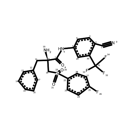 N#Cc1ccc(NC(=O)[C@@](N)(Cc2ccccc2)CS(=O)(=O)c2ccc(F)cc2)cc1C(F)(F)F